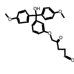 COc1ccc(C(O)(c2ccc(OC)cc2)c2cccc(OCC(=O)CC[C]=O)c2)cc1